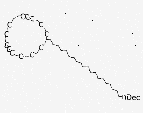 CCCCCCCCCCCCCCCCCCCCCCCCCCCCCCC1CCCCCCCCCCCCCCCCCCCCCCC1